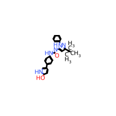 CC(C)(C)c1cc(NC(=O)Nc2ccc(C3=CNC(O)C=C3)cc2)n(-c2ccccc2)n1